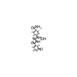 Cl.NC(=O)c1ccc(NC(=S)NC(=O)c2cccc(Cl)c2)cc1